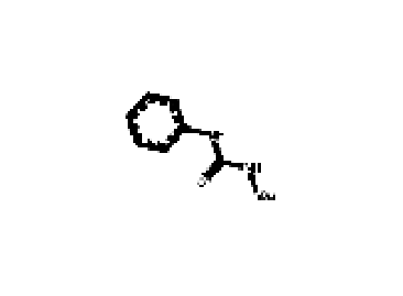 CCCCNC(=O)Nc1ccccc1